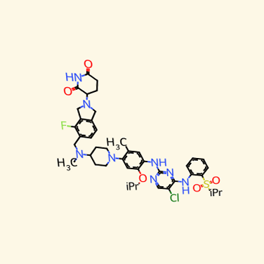 Cc1cc(Nc2ncc(Cl)c(Nc3ccccc3S(=O)(=O)C(C)C)n2)c(OC(C)C)cc1N1CCC(N(C)Cc2ccc3c(c2F)CN(C2CCC(=O)NC2=O)C3)CC1